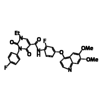 CCn1cc(C(=O)Nc2ccc(Oc3ccnc4cc(OC)c(OC)cc34)cc2F)c(=O)n(-c2ccc(F)cc2)c1=O